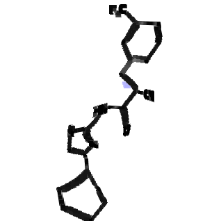 N#C/C(=C\c1cccc(C(F)(F)F)c1)C(=O)Nc1nc(-c2ccccc2)cs1